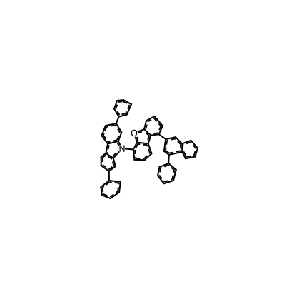 c1ccc(-c2ccc3c4ccc(-c5ccccc5)cc4n(-c4cccc5c4oc4cccc(-c6cc(-c7ccccc7)c7ccccc7c6)c45)c3c2)cc1